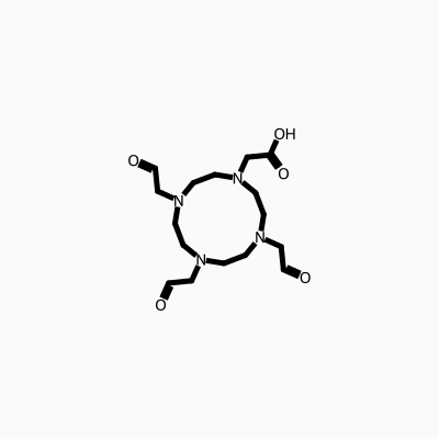 O=CCN1CCN(CC=O)CCN(CC(=O)O)CCN(CC=O)CC1